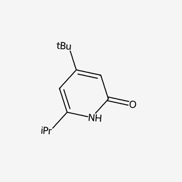 CC(C)c1cc(C(C)(C)C)cc(=O)[nH]1